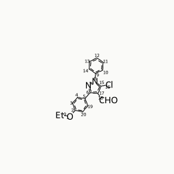 CCOc1ccc(-c2nn(-c3ccccc3)c(Cl)c2C=O)cc1